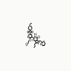 CCCc1nn(Cc2ncccn2)c2c(=O)[nH]c(-c3cc(S(=O)(=O)N4CCN(CC)CC4)cnc3OCCOC)nc12